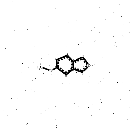 FC(F)(F)Oc1ccc2cocc2c1